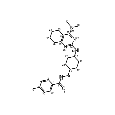 Cc1ccc(C(=O)NCC2CCC(Nc3nc4c(c(N(C)C)n3)CCCC4)CC2)cc1